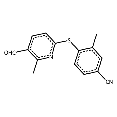 Cc1cc(C#N)ccc1Sc1ccc(C=O)c(C)n1